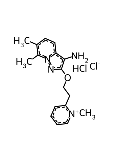 Cc1ccc2c(N)c(OCCc3cccc[n+]3C)nn2c1C.Cl.[Cl-]